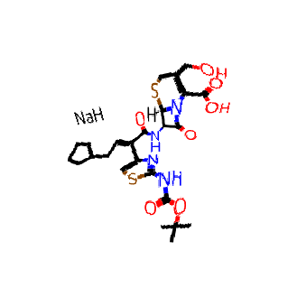 CC(C)(C)OC(=O)Nc1nc(/C(=C\CC2CCCC2)C(=O)N[C@@H]2C(=O)N3C(C(=O)O)=C(CO)CS[C@H]23)cs1.[NaH]